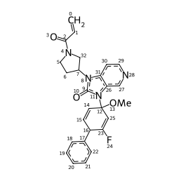 C=CC(=O)N1CCC(n2c(=O)n(C3(OC)C=CC(c4ccccc4)C(F)=C3)c3cnccc32)C1